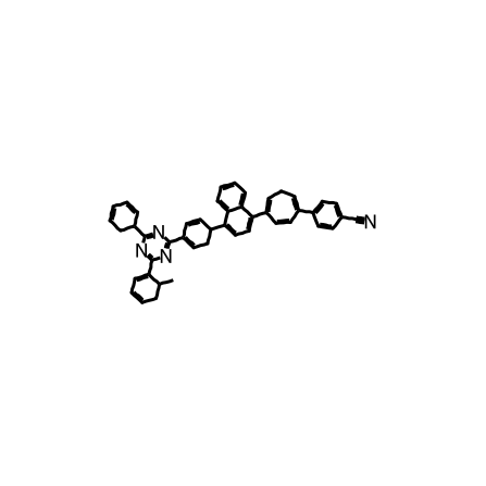 CC1CC=CC=C1c1nc(C2=CCC(c3ccc(C4=CCC=C(c5ccc(C#N)cc5)C=C4)c4ccccc34)C=C2)nc(C2C=CC=CC2)n1